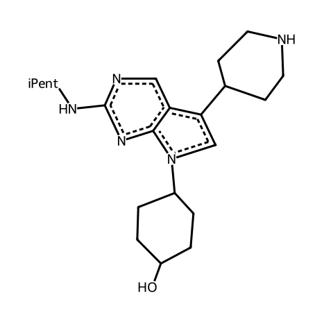 CCCC(C)Nc1ncc2c(C3CCNCC3)cn(C3CCC(O)CC3)c2n1